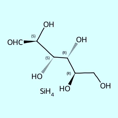 O=C[C@@H](O)[C@@H](O)[C@H](O)[C@H](O)CO.[SiH4]